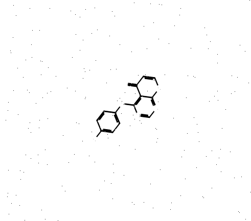 Nc1ccc(Nc2ncnc3[nH]ccc(=O)c23)cc1